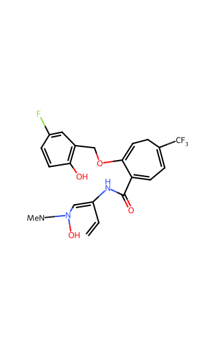 C=C/C(=C\N(O)NC)NC(=O)C1=CC=C(C(F)(F)F)CC=C1OCc1cc(F)ccc1O